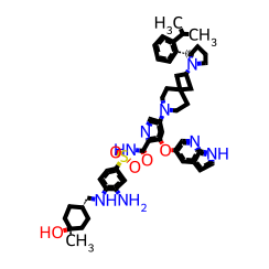 CC(C)c1ccccc1[C@@H]1CCCN1C1CC2(CCN(c3cnc(C(=O)NS(=O)(=O)c4ccc(NC[C@H]5CC[C@](C)(O)CC5)c(N)c4)c(Oc4cnc5[nH]ccc5c4)c3)CC2)C1